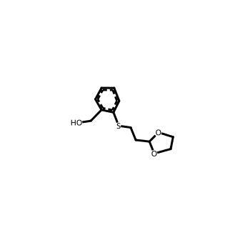 OCc1ccccc1SCCC1OCCO1